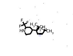 C=C(C)/C=C\C(=C(C)C)C1CCNC(C(F)(F)F)C1